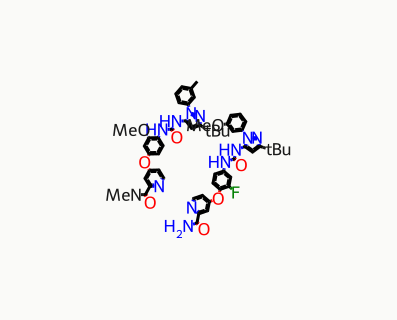 CNC(=O)c1cc(Oc2ccc(NC(=O)Nc3cc(C(C)(C)C)nn3-c3cccc(C)c3)c(OC)c2)ccn1.COc1cccc(-n2nc(C(C)(C)C)cc2NC(=O)Nc2ccc(Oc3ccnc(C(N)=O)c3)c(F)c2)c1